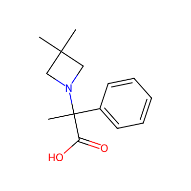 CC1(C)CN(C(C)(C(=O)O)c2ccccc2)C1